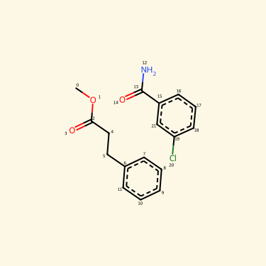 COC(=O)CCc1ccccc1.NC(=O)c1cccc(Cl)c1